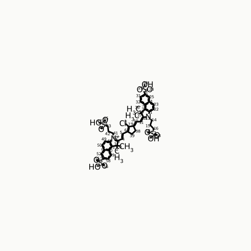 CC1(C)C(/C=C/C2=C(Cl)C(=C/C=C3/N(CCCS(=O)(=O)O)c4ccc5cc(S(=O)(=O)O)ccc5c4C3(C)C)/CC2)=[N+](CCCS(=O)(=O)O)c2ccc3cc(S(=O)(=O)O)ccc3c21